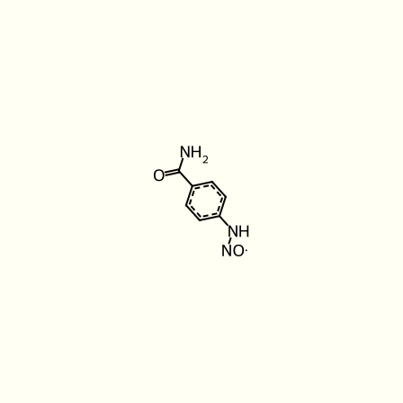 NC(=O)c1ccc(N[N+]=O)cc1